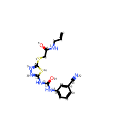 C=CCNC(=O)CSc1nnc(NC(=O)Nc2cccc(C#N)c2)s1